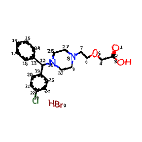 Br.O=C(O)COCCN1CCN(C(c2ccccc2)c2ccc(Cl)cc2)CC1